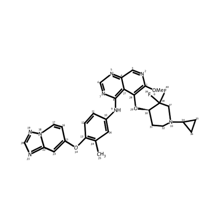 COc1ncc2ncnc(Nc3ccc(Oc4ccn5ncnc5c4)c(C)c3)c2c1O[C@@H]1CCN(C2CC2)CC1(F)F